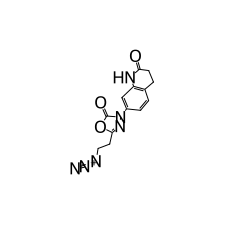 [N-]=[N+]=NCCc1nn(-c2ccc3c(c2)NC(=O)CC3)c(=O)o1